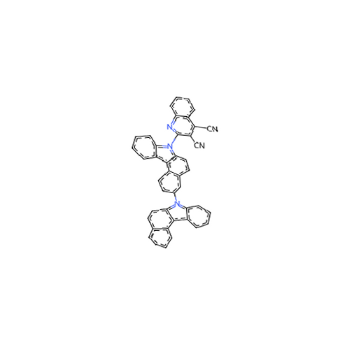 N#Cc1c(-n2c3ccccc3c3c4ccc(-n5c6ccccc6c6c7ccccc7ccc65)cc4ccc32)nc2ccccc2c1C#N